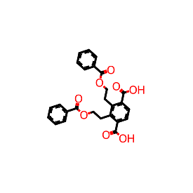 O=C(OCCc1c(C(=O)O)ccc(C(=O)O)c1CCOC(=O)c1ccccc1)c1ccccc1